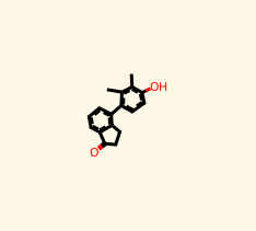 Cc1c(O)ccc(-c2cccc3c2CCC3=O)c1C